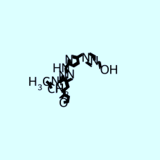 CC(C)Nc1nc(C2CCOC2)cc2cnc(Nc3ccc(CN4CCN(CCO)CC4)cn3)nc12